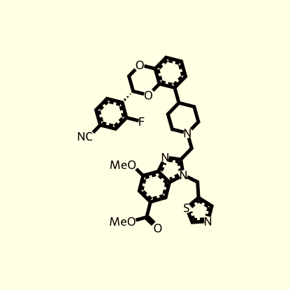 COC(=O)c1cc(OC)c2nc(CN3CCC(c4cccc5c4O[C@H](c4ccc(C#N)cc4F)CO5)CC3)n(Cc3cncs3)c2c1